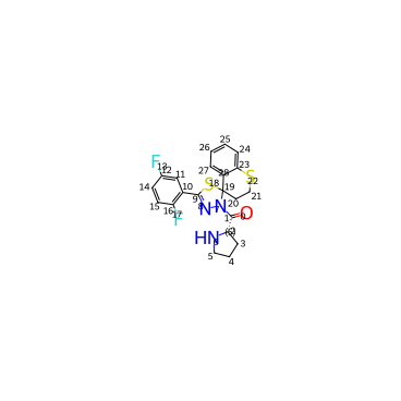 O=C([C@@H]1CCCN1)N1N=C(c2cc(F)ccc2F)SC12CCSc1ccccc12